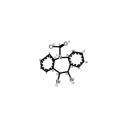 O=C(Cl)N1c2ccccc2C(Br)C(Br)c2ccccc21